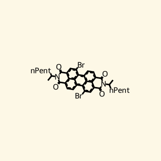 CCCCCC(C)N1C(=O)c2ccc3c4c(Br)cc5c6c(ccc(c7c(Br)cc(c2c37)C1=O)c64)C(=O)N(C(C)CCCCC)C5=O